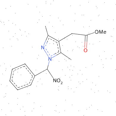 COC(=O)Cc1c(C)nn(C(c2ccccc2)[N+](=O)[O-])c1C